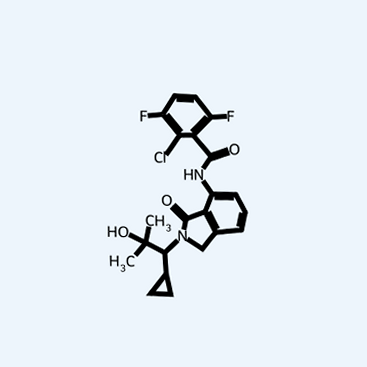 CC(C)(O)C(C1CC1)N1Cc2cccc(NC(=O)c3c(F)ccc(F)c3Cl)c2C1=O